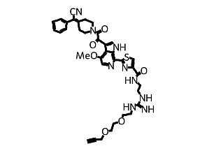 C#CCOCCOCCNC(=N)NCCNC(=O)c1csc(-c2ncc(OC)c3c(C(=O)C(=O)N4CCC(=C(C#N)c5ccccc5)CC4)c[nH]c23)n1